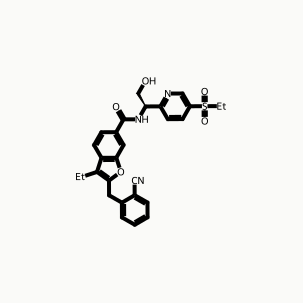 CCc1c(Cc2ccccc2C#N)oc2cc(C(=O)N[C@@H](CO)c3ccc(S(=O)(=O)CC)cn3)ccc12